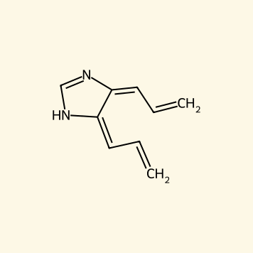 C=C/C=c1/nc[nH]/c1=C/C=C